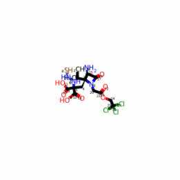 C=C(C)[C@]1(CC(NNS)(C(=O)O)C(=O)O)[C@@H](N)C(=O)N1CC(=O)OCC(Cl)(Cl)Cl